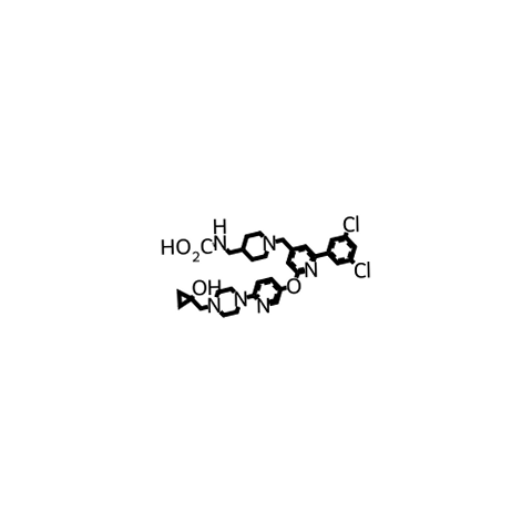 O=C(O)NCC1CCN(Cc2cc(Oc3ccc(N4CCN(CC5(O)CC5)CC4)nc3)nc(-c3cc(Cl)cc(Cl)c3)c2)CC1